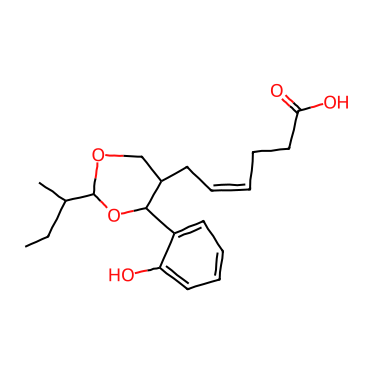 CCC(C)C1OCC(C/C=C\CCC(=O)O)C(c2ccccc2O)O1